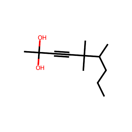 CCCC(C)C(C)(C)C#CC(C)(O)O